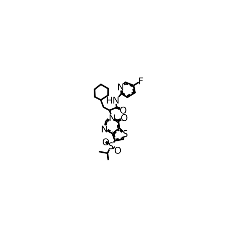 CC(C)S(=O)(=O)c1csc2c(=O)n(C(CC3CCCCC3)C(=O)Nc3ccc(F)cn3)cnc12